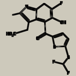 CC1=C(CC(=O)O)C2=C(C(=O)c3ccc(SC(F)F)s3)C(O)=C(F)CC2=N1